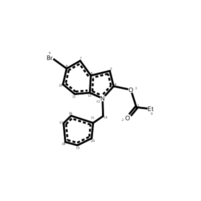 CCC(=O)Oc1cc2cc(Br)ccc2n1Cc1ccccc1